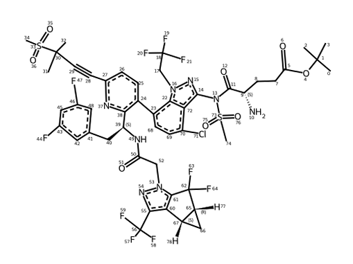 CC(C)(C)OC(=O)CC[C@H](N)C(=O)N(c1nn(CC(F)(F)F)c2c(-c3ccc(C#CC(C)(C)S(C)(=O)=O)nc3[C@H](Cc3cc(F)cc(F)c3)NC(=O)Cn3nc(C(F)(F)F)c4c3C(F)(F)[C@@H]3C[C@H]43)ccc(Cl)c12)S(C)(=O)=O